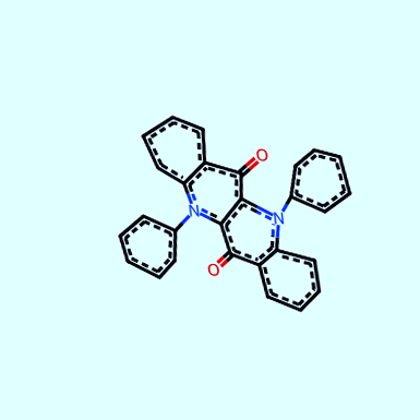 O=c1c2ccccc2n(-c2ccccc2)c2c(=O)c3ccccc3n(-c3ccccc3)c12